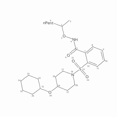 CCCCCC(C)ONC(=O)c1ccccc1S(=O)(=O)N1CCC(OC2CCCCC2)CC1